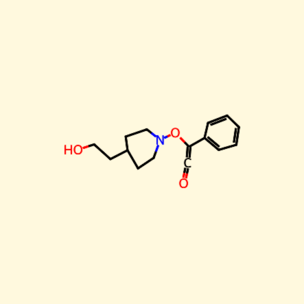 O=C=C(ON1CCC(CCO)CC1)c1ccccc1